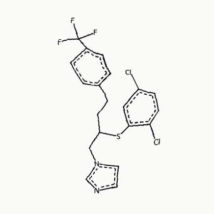 FC(F)(F)c1ccc(CCC(Cn2ccnc2)Sc2cc(Cl)ccc2Cl)cc1